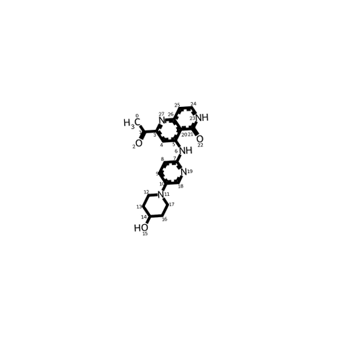 CC(=O)c1cc(Nc2ccc(N3CCC(O)CC3)cn2)c2c(=O)[nH]ccc2n1